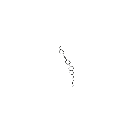 CCCCCCC1CCC2CC(c3ccc(C#Cc4ccc(CC)cc4)cc3)CCC2C1